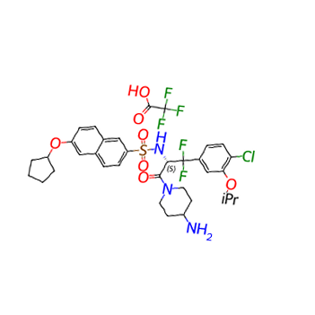 CC(C)Oc1cc(C(F)(F)[C@@H](NS(=O)(=O)c2ccc3cc(OC4CCCC4)ccc3c2)C(=O)N2CCC(N)CC2)ccc1Cl.O=C(O)C(F)(F)F